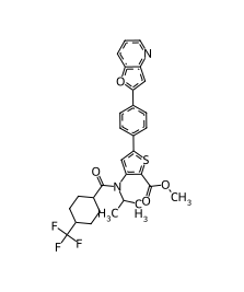 COC(=O)c1sc(-c2ccc(-c3cc4ncccc4o3)cc2)cc1N(C(=O)C1CCC(C(F)(F)F)CC1)C(C)C